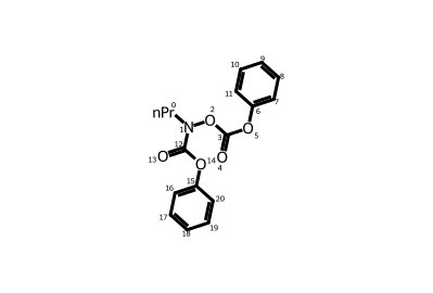 CCCN(OC(=O)Oc1ccccc1)C(=O)Oc1ccccc1